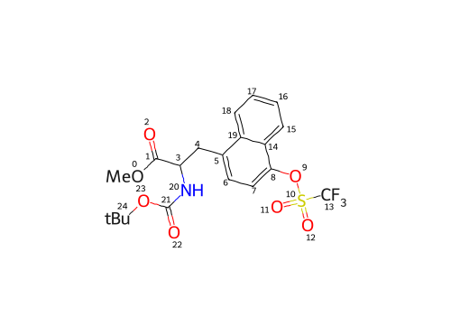 COC(=O)C(Cc1ccc(OS(=O)(=O)C(F)(F)F)c2ccccc12)NC(=O)OC(C)(C)C